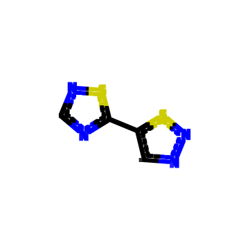 [c]1nnsc1-c1ncns1